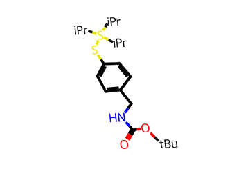 CC(C)S(Sc1ccc(CNC(=O)OC(C)(C)C)cc1)(C(C)C)C(C)C